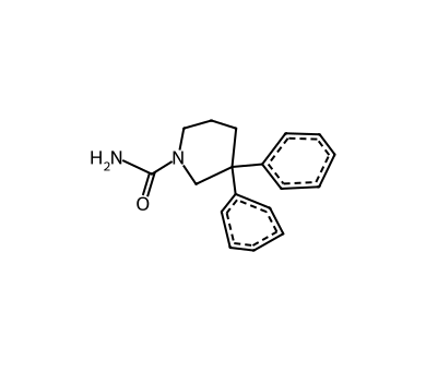 NC(=O)N1CCCC(c2ccccc2)(c2ccccc2)C1